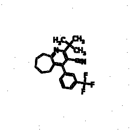 CC(C)(C)c1nc2c(c(-c3cccc(C(F)(F)F)c3)c1C#N)CCCCC2